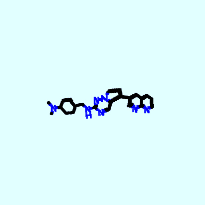 CN(C)C1CCC(CNc2ncc3c(-c4cnc5ncccc5c4)ccn3n2)CC1